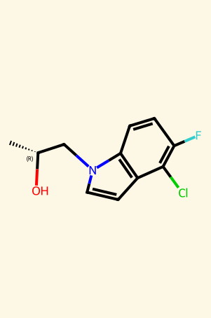 C[C@@H](O)Cn1ccc2c(Cl)c(F)ccc21